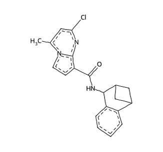 Cc1cc(Cl)nc2c(C(=O)NC3c4ccccc4C4CC3C4)ccn12